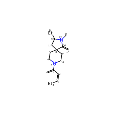 C=C(/C=C\CC)N1CCC2(CC1)CC(CC)N(C)C2=C